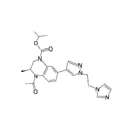 CC(=O)N1c2ccc(-c3cnn(CCn4ccnc4)c3)cc2N(C(=O)OC(C)C)C[C@@H]1C